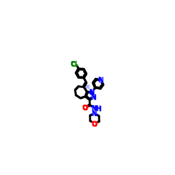 O=C(NN1CCOCC1)c1nn(-c2ccncc2)c2c1CCCC/C2=C\c1ccc(Cl)cc1